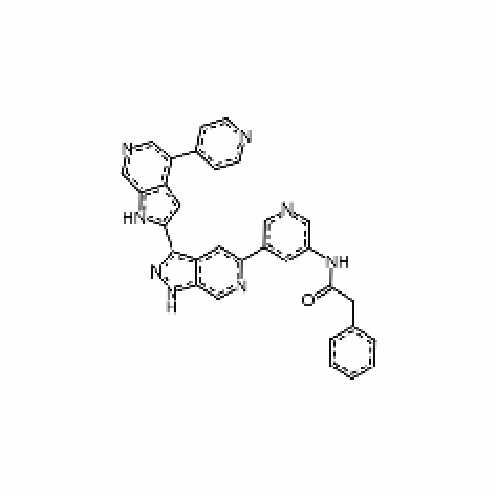 O=C(Cc1ccccc1)Nc1cncc(-c2cc3c(-c4cc5c(-c6ccncc6)cncc5[nH]4)n[nH]c3cn2)c1